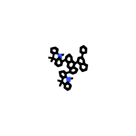 CN1c2ccccc2C(C)(C)c2cccc(-c3cccc4c(-c5cc(-c6ccccc6)cc6ccccc56)c5cccc(-c6cccc7c6N(C)c6ccccc6C7(C)C)c5cc34)c21